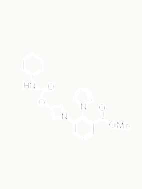 COC(=O)c1cccc(N2CC(OC(=O)NC3CCCCC3)C2)c1-n1cccc1